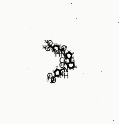 COC(OC)c1ccc(C(=O)Nc2cccc(-c3cccc(NC(=O)c4ccc(C(OC)OC)cn4)c3Cl)c2C)nc1